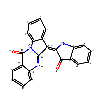 O=C1/C(=c2/c3ccccc3n3c(=O)c4ccccc4nc23)Nc2ccccc21